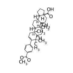 COC(=O)c1ccc(C2=CC[C@]3(C)[C@H]4CC[C@@H]5[C@H]6CCC[C@]6(C(=O)O)CC[C@@]5(C)[C@]4(C)CC[C@H]3C2(C)C)cc1